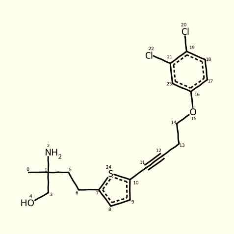 CC(N)(CO)CCc1ccc(C#CCCOc2ccc(Cl)c(Cl)c2)s1